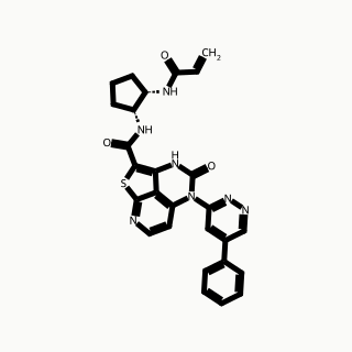 C=CC(=O)N[C@H]1CCC[C@H]1NC(=O)c1sc2nccc3c2c1NC(=O)N3c1cc(-c2ccccc2)cnn1